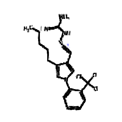 CCCCCc1cn(-c2ccccc2C(Cl)(Cl)Cl)cc1/C=N/NC(=N)N